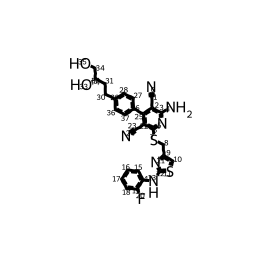 N#Cc1c(N)nc(SCc2csc(Nc3ccccc3F)n2)c(C#N)c1-c1ccc(CC[C@H](O)CO)cc1